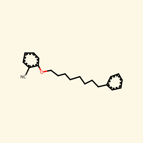 N#Cc1ccccc1OCCCCCCCCc1ccccc1